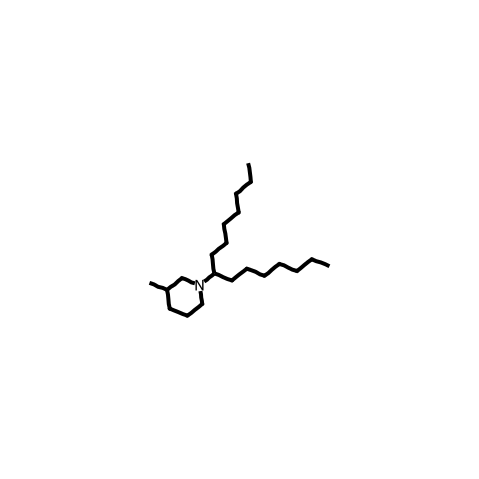 CCCCCCCC(CCCCCCC)N1CCCC(C)C1